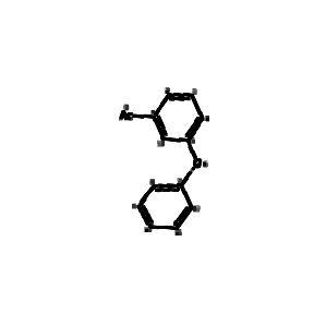 CC(=O)c1cccc(Oc2ccccc2)c1